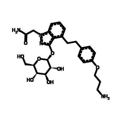 NCCCOc1ccc(CCc2cccc3c2c(O[C@@H]2O[C@H](CO)[C@@H](O)[C@H](O)[C@H]2O)nn3CC(N)=O)cc1